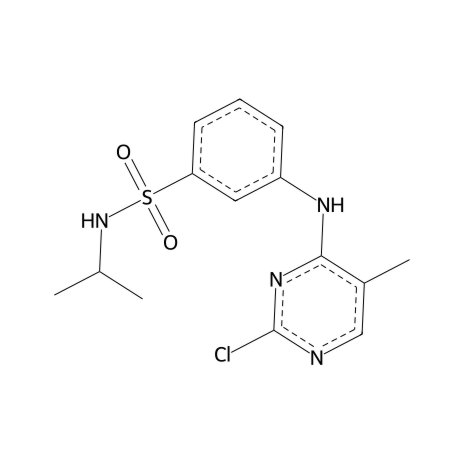 Cc1cnc(Cl)nc1Nc1cccc(S(=O)(=O)NC(C)C)c1